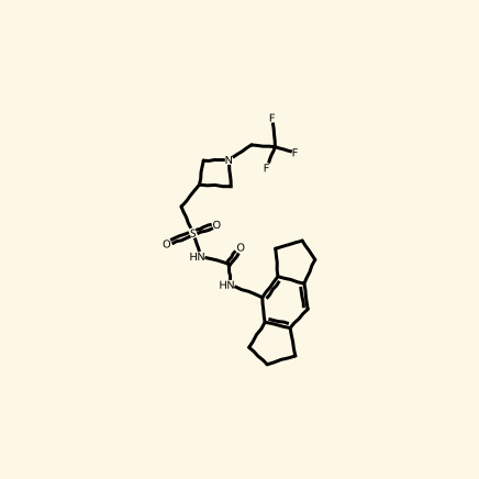 O=C(Nc1c2c(cc3c1CCC3)CCC2)NS(=O)(=O)CC1CN(CC(F)(F)F)C1